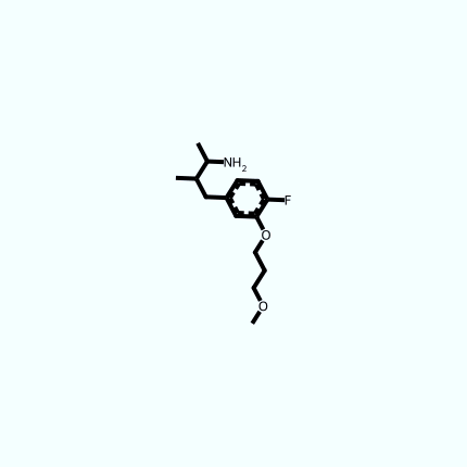 COCCCOc1cc(CC(C)C(C)N)ccc1F